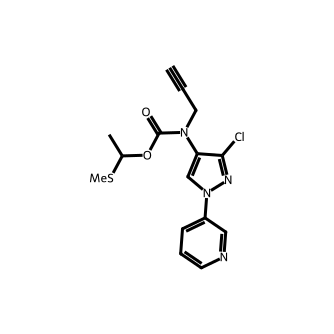 C#CCN(C(=O)OC(C)SC)c1cn(-c2cccnc2)nc1Cl